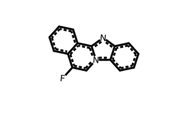 Fc1cn2c3ccccc3nc2c2ccccc12